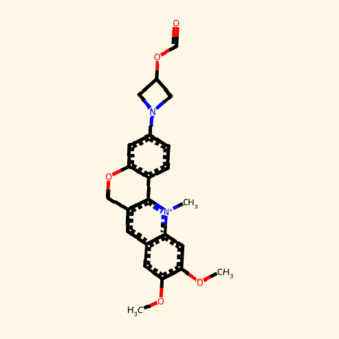 COc1cc2cc3c([n+](C)c2cc1OC)-c1ccc(N2CC(OC=O)C2)cc1OC3